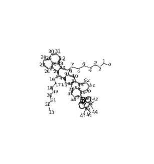 CCCCCCCCc1c2cc3c(cc2c(CCCCCCCC)c2c4cccc5cccc(c12)c54)c1ccc(B2OC(C)(C)C(C)(C)O2)c2cccc3c21